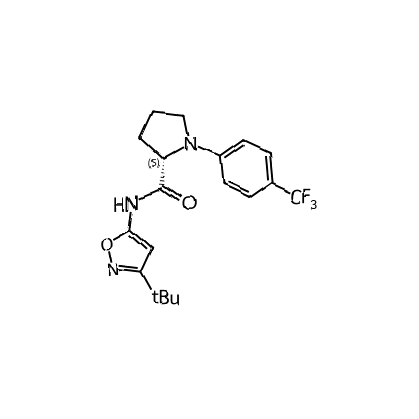 CC(C)(C)c1cc(NC(=O)[C@@H]2CCCN2c2ccc(C(F)(F)F)cc2)on1